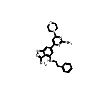 Nc1nc(-c2cc(NCCc3ccccc3)c3c(N)n[nH]c3c2)cc(N2CCOCC2)n1